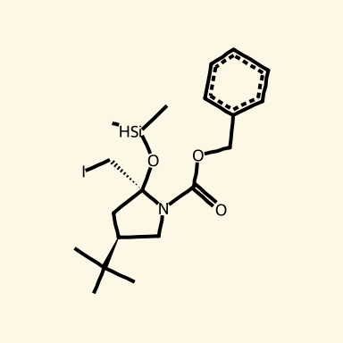 C[SiH](C)O[C@]1(CI)C[C@H](C(C)(C)C)CN1C(=O)OCc1ccccc1